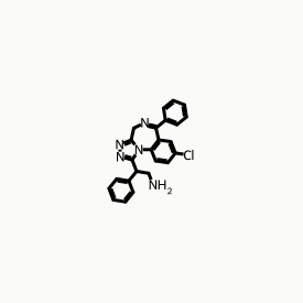 NCC(c1ccccc1)c1nnc2n1-c1ccc(Cl)cc1C(c1ccccc1)=NC2